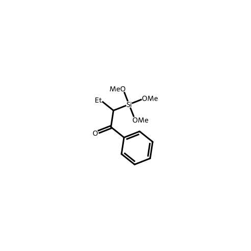 CCC(C(=O)c1ccccc1)[Si](OC)(OC)OC